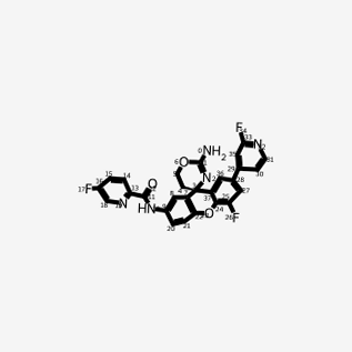 NC1=N[C@@]2(CCO1)c1cc(NC(=O)c3ccc(F)cn3)ccc1Oc1c(F)cc(-c3ccnc(F)c3)cc12